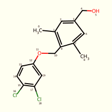 Cc1cc(CO)cc(C)c1COc1ccc(Cl)c(Cl)c1